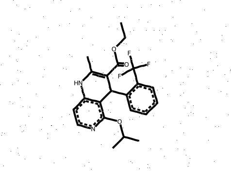 CCOC(=O)C1=C(C)Nc2ccnc(OC(C)C)c2C1c1ccccc1C(F)(F)F